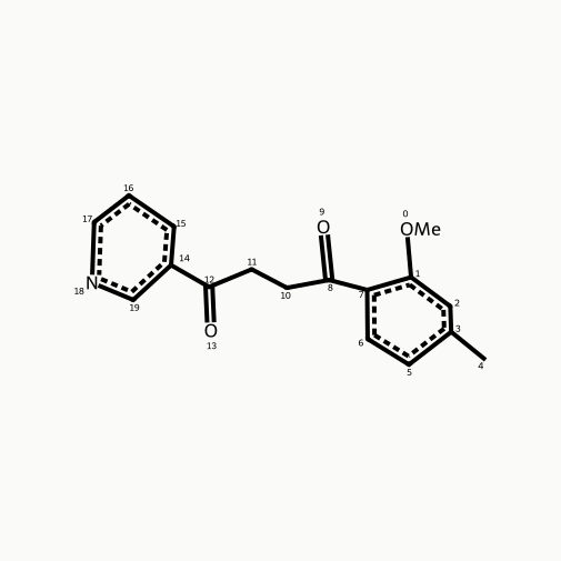 COc1cc(C)ccc1C(=O)CCC(=O)c1cccnc1